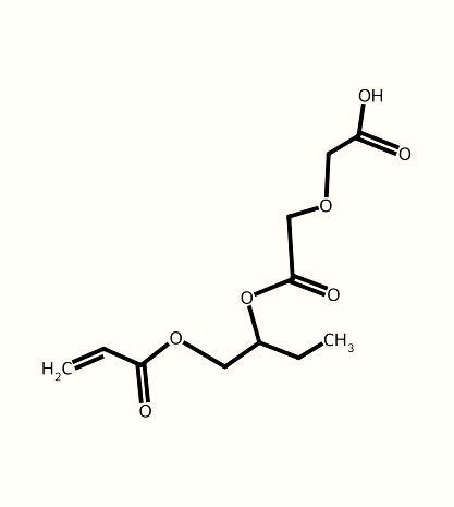 C=CC(=O)OCC(CC)OC(=O)COCC(=O)O